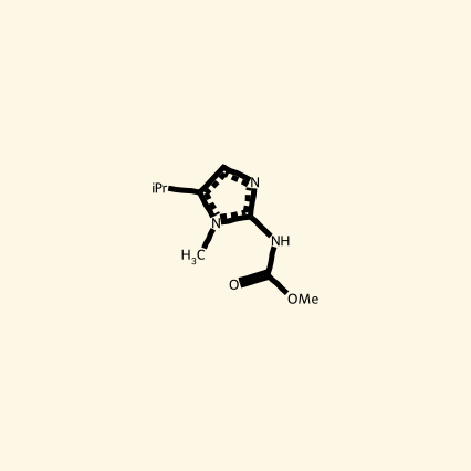 COC(=O)Nc1ncc(C(C)C)n1C